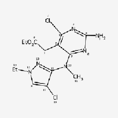 CCOC(=O)Cc1c(Cl)nc(N)nc1N(C)c1nn(CC)cc1Cl